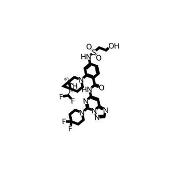 O=C(Nc1cc2ncnn2c(N2CCC(F)(F)CC2)n1)c1ccc(NS(=O)(=O)CCO)cc1N1CC[C@@]2(C(F)F)C[C@H]2C1